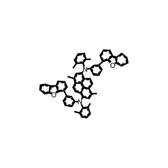 Cc1cccc(C)c1N(c1cccc(-c2cccc3c2oc2ccccc23)c1)c1cc(C)c2ccc3c(N(c4cccc(-c5cccc6c5oc5ccccc56)c4)c4c(C)cccc4C)cc(C)c4ccc1c2c43